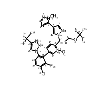 Cn1ncnc1-c1cnn([C@H](CCOC(F)(F)F)c2ccc(-c3c(-n4cc(C(F)(F)F)nn4)ccc(Cl)c3F)c[n+]2[O-])c1